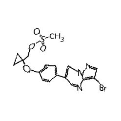 CS(=O)(=O)OCC1(Oc2ccc(-c3cnc4c(Br)cnn4c3)cc2)CC1